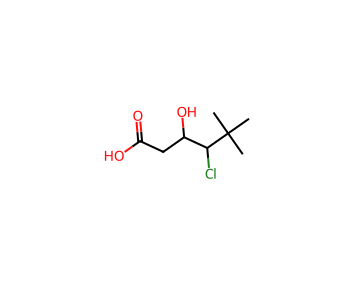 CC(C)(C)C(Cl)C(O)CC(=O)O